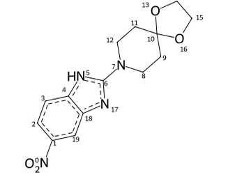 O=[N+]([O-])c1ccc2[nH]c(N3CCC4(CC3)OCCO4)nc2c1